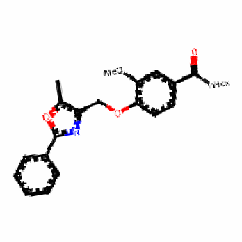 CCCCCCC(=O)c1ccc(OCc2nc(-c3ccccc3)oc2C)c(OC)c1